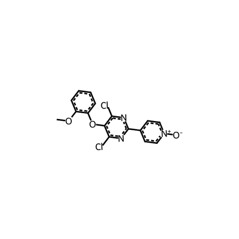 COc1ccccc1Oc1c(Cl)nc(-c2cc[n+]([O-])cc2)nc1Cl